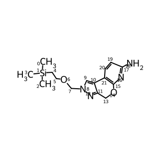 C[Si](C)(C)CCOCn1cc2c(n1)COc1nc(N)ccc1-2